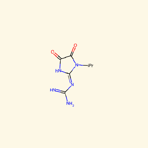 CC(C)N1C(=O)C(=O)N/C1=N\C(=N)N